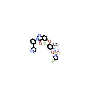 N#Cc1c(NS(=O)(=O)N2CC[C@@H](F)C2)ccc(F)c1Oc1ccc2ncn(-c3cccc(C4CCNC4)c3)c(=O)c2c1